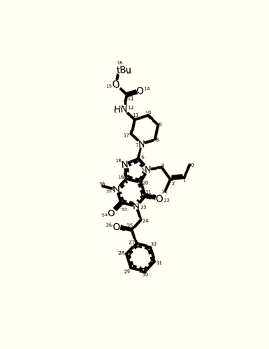 C/C=C(/C)Cn1c(N2CCCC(NC(=O)OC(C)(C)C)C2)nc2c1c(=O)n(CC(=O)c1ccccc1)c(=O)n2C